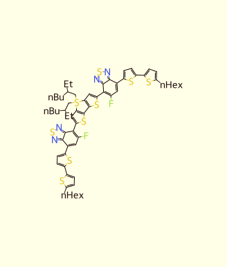 CCCCCCc1ccc(-c2ccc(-c3cc(F)c(-c4cc5c(s4)-c4sc(-c6c(F)cc(-c7ccc(-c8ccc(CCCCCC)s8)s7)c7nsnc67)cc4S5(CC(CC)CCCC)CC(CC)CCCC)c4nsnc34)s2)s1